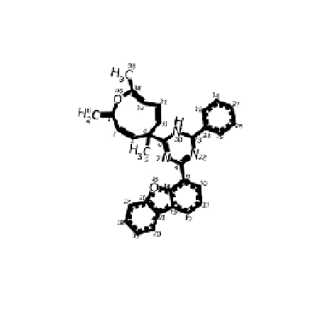 C=C1/C=C\C(C)(C2=NC(c3cccc4c3oc3ccccc34)=NC(c3ccccc3)N2)/C=C\C=C(/C)O1